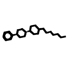 CCCCCCCC1CC[C]([C@H]2CC[C@H](c3ccccc3)CC2)CC1